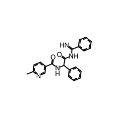 Cc1ccc(C(=O)NC(C(=O)NC(=N)c2ccccc2)c2ccccc2)cn1